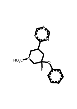 O=C(O)N1CC(c2ncncn2)CC(F)(Oc2ccccc2)C1